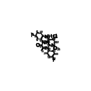 C=CC(=O)Nc1cc(F)ccc1Nc1nc(Nc2ccc(F)cc2OC)ncc1Cl